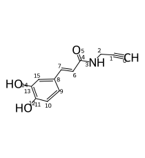 C#CCNC(=O)/C=C/c1ccc(O)c(O)c1